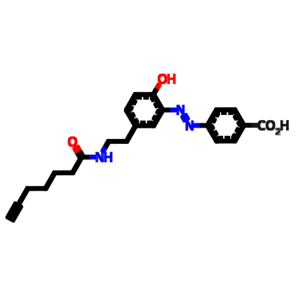 C#CCCCCC(=O)NCCc1ccc(O)c(N=Nc2ccc(C(=O)O)cc2)c1